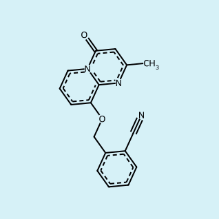 Cc1cc(=O)n2cccc(OCc3ccccc3C#N)c2n1